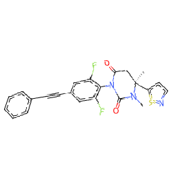 CN1C(=O)N(c2c(F)cc(C#Cc3ccccc3)cc2F)C(=O)C[C@@]1(C)c1ccns1